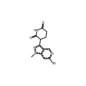 CC(C)c1cc2c(cn1)c(C1CCC(=O)NC1=O)nn2C